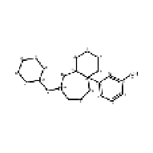 Oc1cccc(C23CCCCC2CN(CC2CCCCC2)CCC3)c1